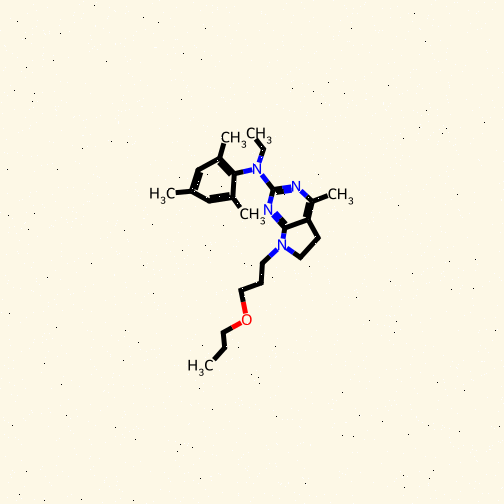 CCCOCCCN1CCc2c(C)nc(N(CC)c3c(C)cc(C)cc3C)nc21